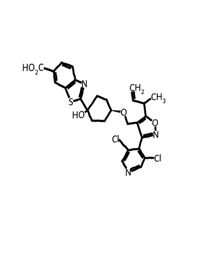 C=CC(C)c1onc(-c2c(Cl)cncc2Cl)c1CO[C@H]1CC[C@](O)(c2nc3ccc(C(=O)O)cc3s2)CC1